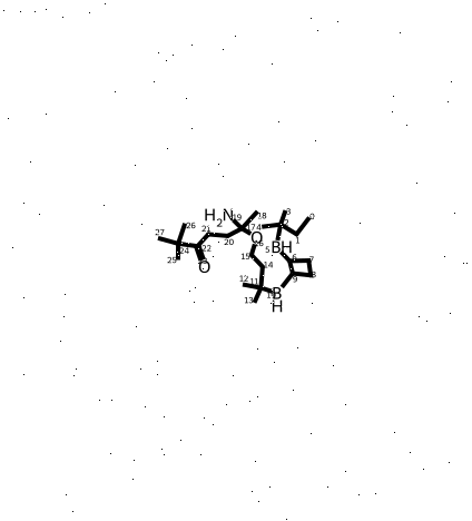 CCC(C)(C)BC1CCC1BC(C)(C)CCOC(C)(N)CCC(=O)C(C)(C)C